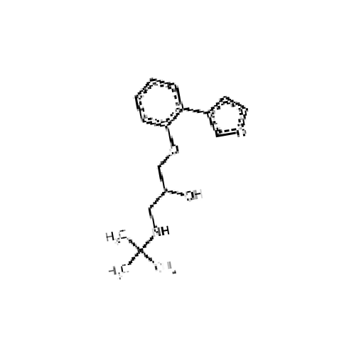 CC(C)(C)NCC(O)COc1ccccc1-c1ccoc1